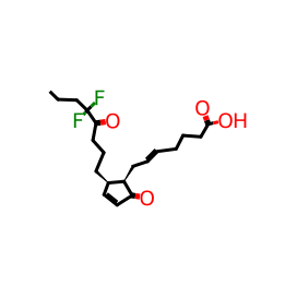 CCCC(F)(F)C(=O)CCC[C@@H]1C=CC(=O)[C@@H]1CC=CCCCC(=O)O